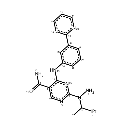 CC(C)C(C)N(N)c1ncc(C(N)=O)c(Nc2cccc(-c3ncccn3)c2)n1